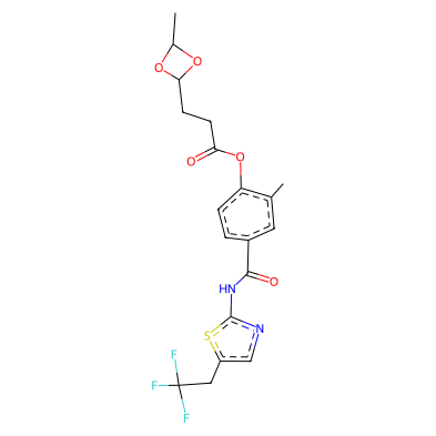 Cc1cc(C(=O)Nc2ncc(CC(F)(F)F)s2)ccc1OC(=O)CCC1OC(C)O1